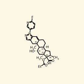 CCC(=O)O[C@]1(C(=O)S)[C@H](C)CC2[C@@H]3CCC4=Cc5c(cnn5-c5ccc(F)nc5)C[C@]4(C)C3[C@@H](O)C[C@@]21C